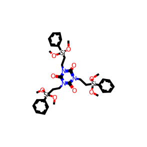 CO[Si](CCn1c(=O)n(CC[Si](OC)(OC)c2ccccc2)c(=O)n(CC[Si](OC)(OC)c2ccccc2)c1=O)(OC)c1ccccc1